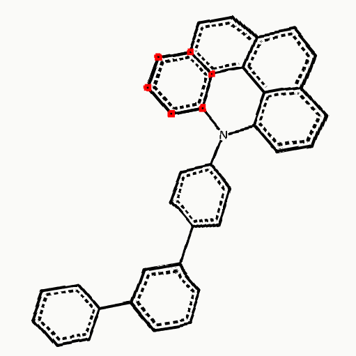 c1ccc(-c2cccc(-c3ccc(N(c4ccccc4)c4cccc5ccc6ccc7ccccc7c6c45)cc3)c2)cc1